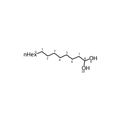 CCCCCCCCCCCCCC(O)O